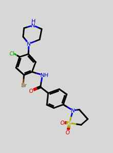 O=C(Nc1cc(N2CCNCC2)c(Cl)cc1Br)c1ccc(N2CCCS2(=O)=O)cc1